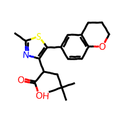 Cc1nc(C(CC(C)(C)C)C(=O)O)c(-c2ccc3c(c2)CCCO3)s1